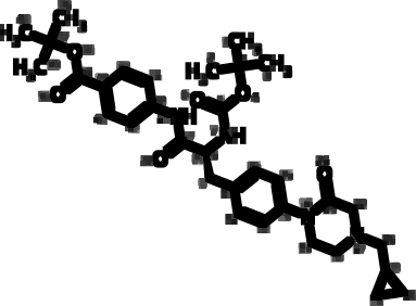 CC(C)(C)OC(=O)N[C@@H](Cc1ccc(N2CCN(CC3CC3)CC2=O)cc1)C(=O)Nc1ccc(C(=O)OC(C)(C)C)cc1